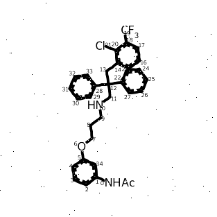 CC(=O)Nc1cccc(OCCCNCC(Cc2cccc(C(F)(F)F)c2Cl)(c2ccccc2)c2ccccc2)c1